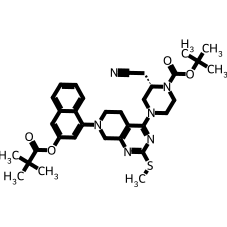 CSc1nc2c(c(N3CCN(C(=O)OC(C)(C)C)[C@@H](CC#N)C3)n1)CCN(c1cc(OC(=O)C(C)(C)C)cc3ccccc13)C2